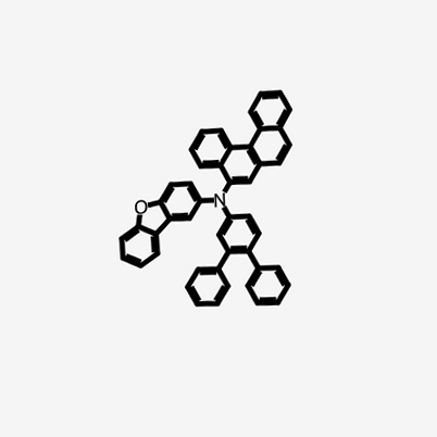 c1ccc(-c2ccc(N(c3ccc4oc5ccccc5c4c3)c3cc4ccc5ccccc5c4c4ccccc34)cc2-c2ccccc2)cc1